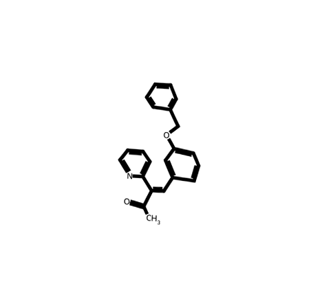 CC(=O)/C(=C/c1cccc(OCc2ccccc2)c1)c1ccccn1